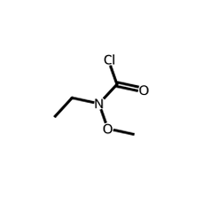 CCN(OC)C(=O)Cl